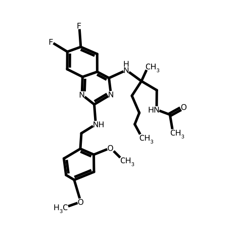 CCCCC(C)(CNC(C)=O)Nc1nc(NCc2ccc(OC)cc2OC)nc2cc(F)c(F)cc12